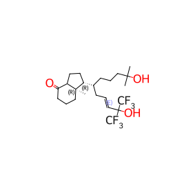 CC(C)(O)CCCC(C/C=C/C(O)(C(F)(F)F)C(F)(F)F)[C@H]1CCC2C(=O)CCC[C@@]21C